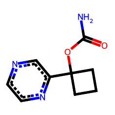 NC(=O)OC1(c2cnccn2)CCC1